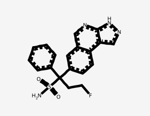 NS(=O)(=O)C(CCF)(c1ccccc1)c1ccc2c(cnc3[nH]ncc32)c1